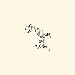 CC(C)CCOC(=O)CC(C)COC(=O)CC(C)C